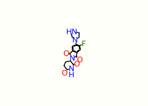 O=C1CCC(N2C(=O)c3cc(F)c(N4CCNCC4)cc3C2=O)C(=O)N1